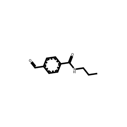 CCCNC(=O)c1ccc(C=O)cc1